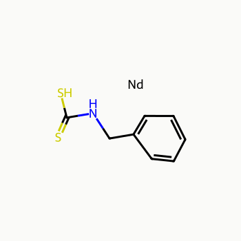 S=C(S)NCc1ccccc1.[Nd]